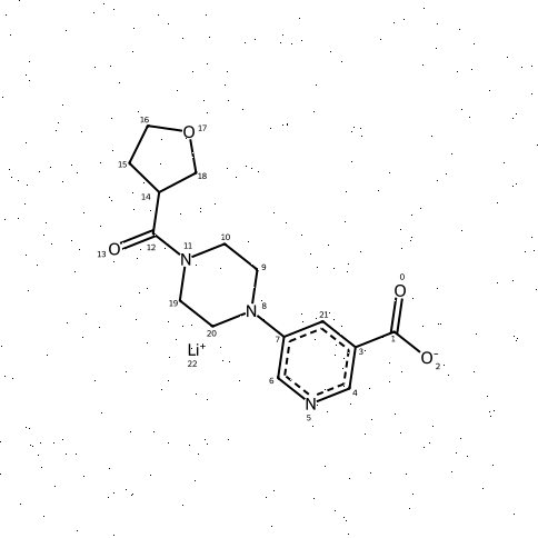 O=C([O-])c1cncc(N2CCN(C(=O)C3CCOC3)CC2)c1.[Li+]